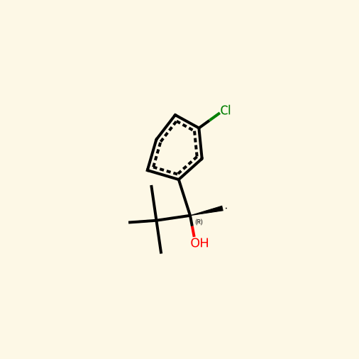 [CH2][C@](O)(c1cccc(Cl)c1)C(C)(C)C